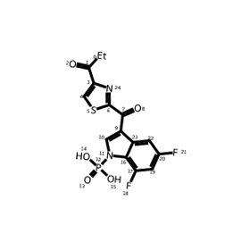 CCC(=O)c1csc(C(=O)c2cn(P(=O)(O)O)c3c(F)cc(F)cc23)n1